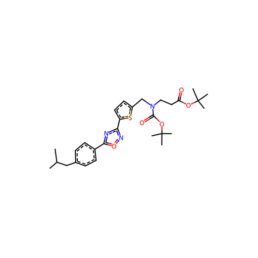 CC(C)Cc1ccc(-c2nc(-c3ccc(CN(CCC(=O)OC(C)(C)C)C(=O)OC(C)(C)C)s3)no2)cc1